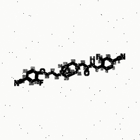 N#Cc1ccc(CNC(=O)CN2CC3CN(CCCOc4ccc(C#N)cc4F)CC(C2)O3)c(F)c1